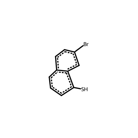 Sc1cccc2ccc(Br)cc12